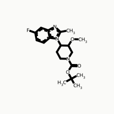 COC1CN(C(=O)OC(C)(C)C)CCC1n1c(C)nc2cc(F)ccc21